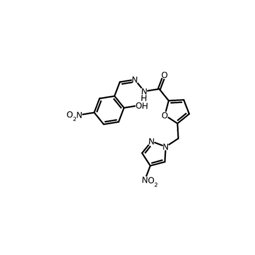 O=C(N/N=C\c1cc([N+](=O)[O-])ccc1O)c1ccc(Cn2cc([N+](=O)[O-])cn2)o1